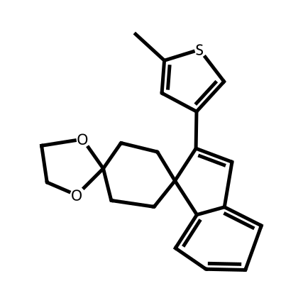 Cc1cc(C2=Cc3ccccc3C23CCC2(CC3)OCCO2)cs1